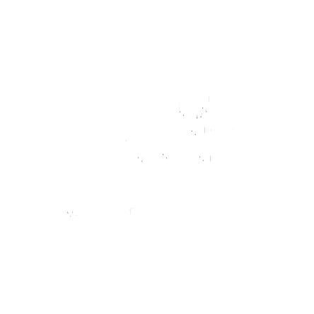 COc1ccc(CCn2cnc3cc(N/C(=N/C4C[C@@H]5CC[C@@]4(C)C5(C)C)N4C[C@@H](C)N[C@@H](C)C4)ccc3c2=O)c(F)c1